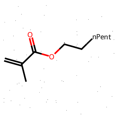 [CH2]CCCCC[CH]OC(=O)C(=C)C